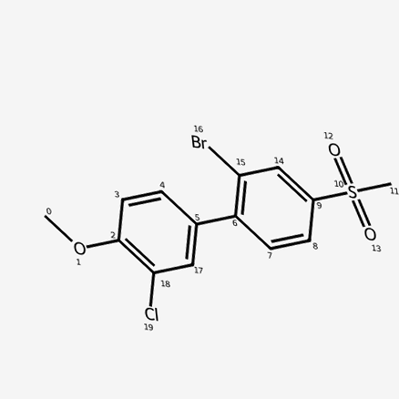 COc1ccc(-c2ccc(S(C)(=O)=O)cc2Br)cc1Cl